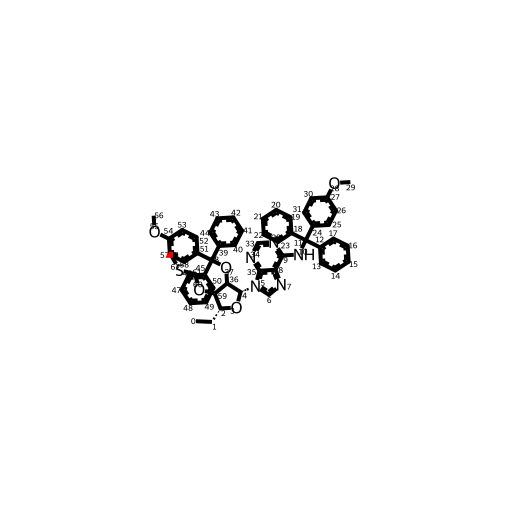 CC[C@H]1O[C@@H](n2cnc3c(NC(c4ccccc4)(c4ccccc4)c4ccc(OC)cc4)ncnc32)C(OC(c2ccccc2)(c2ccccc2)c2ccc(OC)cc2)C1OCSC